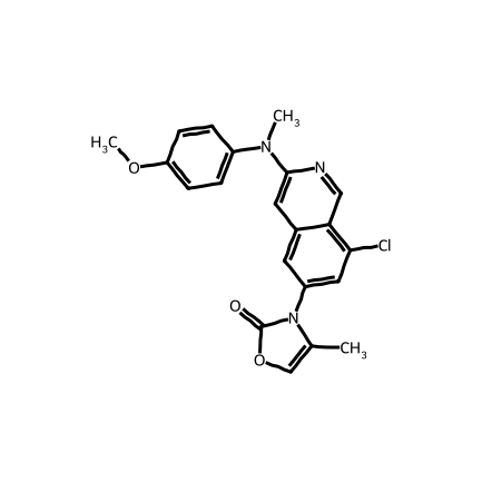 COc1ccc(N(C)c2cc3cc(-n4c(C)coc4=O)cc(Cl)c3cn2)cc1